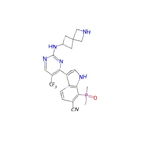 CP(C)(=O)c1c(C#N)ccc2c(-c3nc(NC4CC5(CNC5)C4)ncc3C(F)(F)F)c[nH]c12